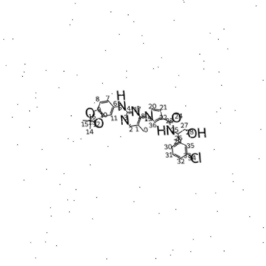 Cc1cnc(Nc2ccc3c(c2)OC(C)(C)O3)nc1-n1ccc(C(=O)NC(CO)c2cccc(Cl)c2)c1